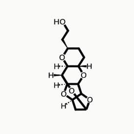 OCC[C@H]1CC[C@@H]2OC3C4OC5C[C@H]4O[C@H]3[C@@H](O5)[C@H]2O1